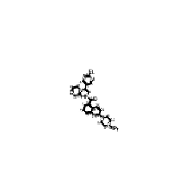 CCc1ncc(C(CNC(=O)c2cccc3nc(N4CCN(C(C)C)CC4)ccc23)N2CCOCC2)cn1